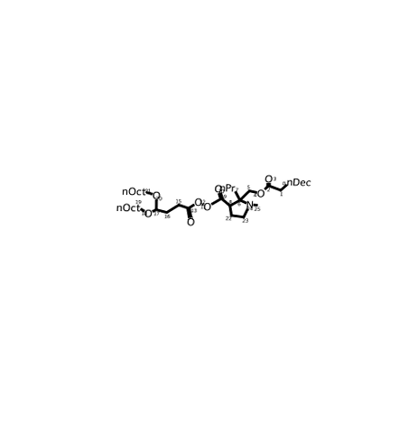 CCCCCCCCCCCC(=O)OCC1(CCC)C(C(=O)OOC(=O)CCC(OCCCCCCCC)OCCCCCCCC)CCN1C